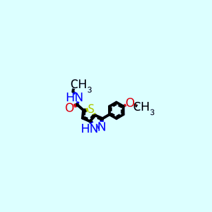 CCNC(=O)c1cc2[nH]nc(-c3ccc(OC)cc3)c2s1